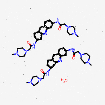 CN1CCN(CC(=O)Nc2ccc3cc4ccc(NC(=O)CN5CCN(C)CC5)cc4nc3c2)CC1.CN1CCN(CC(=O)Nc2ccc3cc4ccc(NC(=O)CN5CCN(C)CC5)cc4nc3c2)CC1.O